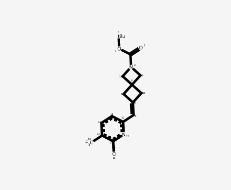 CC(C)(C)OC(=O)N1CC2(CC(=Cc3ccc(C(F)(F)F)c(Cl)n3)C2)C1